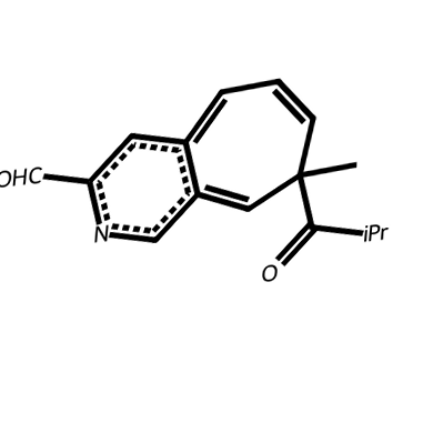 CC(C)C(=O)C1(C)C=CC=c2cc(C=O)ncc2=C1